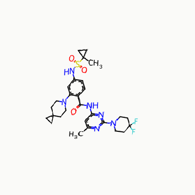 Cc1cc(NC(=O)c2ccc(NS(=O)(=O)C3(C)CC3)cc2N2CCC3(CC2)CC3)nc(N2CCC(F)(F)CC2)n1